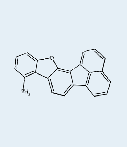 Bc1cccc2oc3c4c(ccc3c12)-c1cccc2cccc-4c12